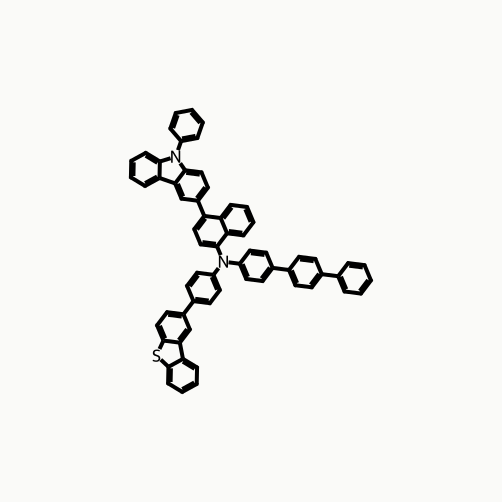 c1ccc(-c2ccc(-c3ccc(N(c4ccc(-c5ccc6sc7ccccc7c6c5)cc4)c4ccc(-c5ccc6c(c5)c5ccccc5n6-c5ccccc5)c5ccccc45)cc3)cc2)cc1